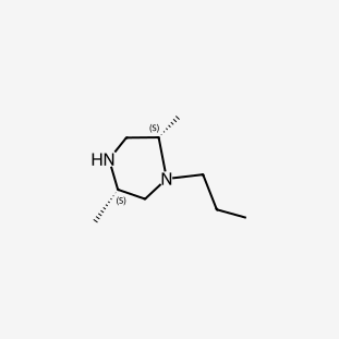 CCCN1C[C@H](C)NC[C@@H]1C